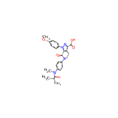 COc1ccc(-n2nc(C(=O)O)c3c2C(=O)N(c2ccc(N(C)C(=O)C(C)C)cc2)CC3)cc1